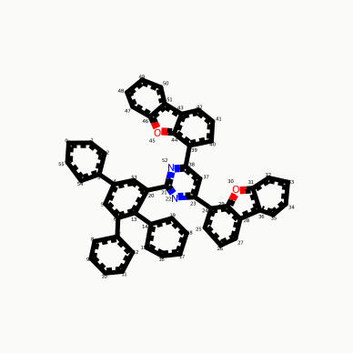 c1ccc(-c2cc(-c3ccccc3)c(-c3ccccc3)c(-c3nc(-c4cccc5c4oc4ccccc45)cc(-c4cccc5c4oc4ccccc45)n3)c2)cc1